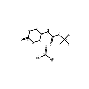 CC(C)(C)OC(=O)NC1CCC(=O)CC1.O=C(O)O